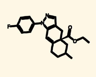 CCOC(=O)[C@]12Cc3cnn(-c4ccc(F)cc4)c3C=C1CCC(C)C2